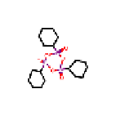 O=P1(C2CCCCC2)OP(=O)(C2CCCCC2)OP(=O)(C2CCCCC2)O1